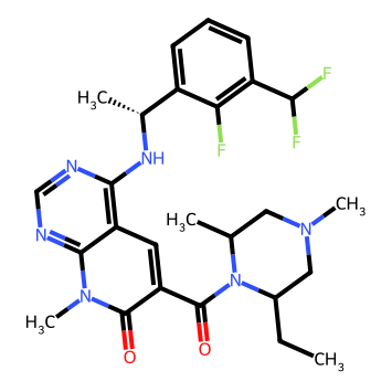 CCC1CN(C)CC(C)N1C(=O)c1cc2c(N[C@H](C)c3cccc(C(F)F)c3F)ncnc2n(C)c1=O